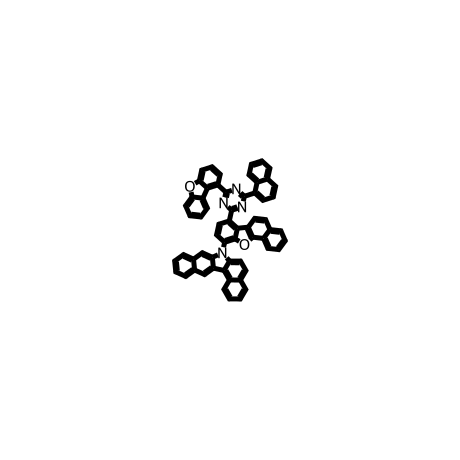 c1ccc2cc3c(cc2c1)c1c2ccccc2ccc1n3-c1ccc(-c2nc(-c3cccc4ccccc34)nc(-c3cccc4oc5ccccc5c34)n2)c2c1oc1c3ccccc3ccc12